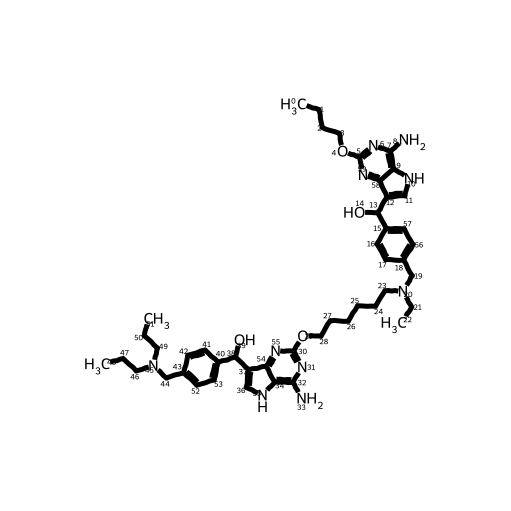 CCCCOc1nc(N)c2[nH]cc(C(O)c3ccc(CN(CC)CCCCCCOc4nc(N)c5[nH]cc(C(O)c6ccc(CN(CCC)CCC)cc6)c5n4)cc3)c2n1